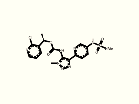 CNS(=O)(=O)Nc1ccc(-c2nnn(C)c2NC(=O)O[C@H](C)c2cccnc2Cl)nc1